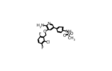 CS(=O)(=O)Nc1ccc(-c2cnc(N)c(OCc3c(F)ccc(F)c3Cl)c2)cc1